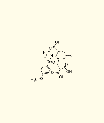 COc1ccc(S(=O)(=O)N(C)c2c(CC(C(=O)O)C(=O)O)cc(Br)cc2C(=O)O)cc1